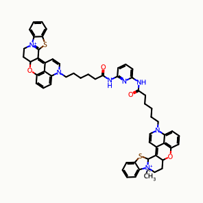 C[N@+]12CCC3Oc4cccc5c4C(=C3C1Sc1ccccc12)C=CN5CCCCCC(=O)Nc1cccc(NC(=O)CCCCCN2C=CC3=C4c5sc6ccccc6[n+]5CCC4Oc4cccc2c43)n1